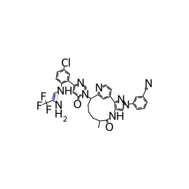 CC1CCCC(n2cnc(-c3cc(Cl)ccc3N/C=C(\N)C(F)(F)F)cc2=O)c2cc(ccn2)-c2nn(-c3cccc(C#N)c3)cc2NC1=O